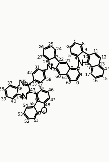 c1cc(-n2c3ccccc3c3ccc4ccccc4c32)c2cc3c4ccccc4n(-c4ccc(-c5nc6ccccc6nc5-c5cccc6oc7ccccc7c56)cc4)c3cc2c1